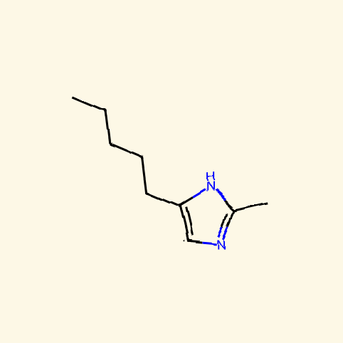 CCCCCc1[c]nc(C)[nH]1